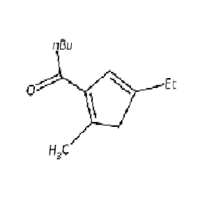 CCCCC(=O)C1=C(C)CC(CC)=C1